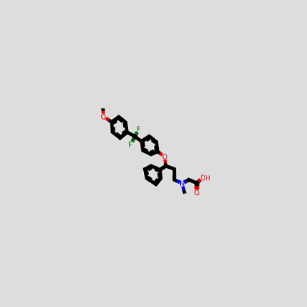 COc1ccc(C(F)(F)c2ccc(OC(CCN(C)CC(=O)O)c3ccccc3)cc2)cc1